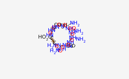 CC[C@H](C)[C@H]1NC(=O)[C@@H](CCC(N)=O)NC(=O)[C@@H](N)CSSC[C@H](C(=O)O)NC(=O)[C@@H](CC(C)C)NC(=O)C(CC(=O)O)NC(=O)C2CCCN2C(=O)[C@H](CCCCN)NC(=O)[C@H](CCC(N)=O)NC(=O)[C@H](CCCCN)NC(=O)[C@H](Cc2c[nH]c3ccccc23)NC1=O